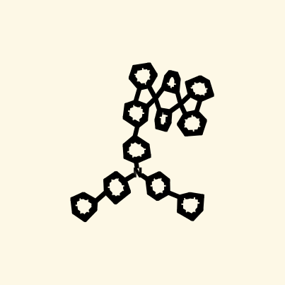 c1ccc(-c2ccc(N(c3ccc(-c4ccccc4)cc3)c3ccc(-c4ccc5c(c4)C4(c6ccccc6-5)c5ccccc5C5(c6ccccc6-c6ccccc65)c5ccccc54)cc3)cc2)cc1